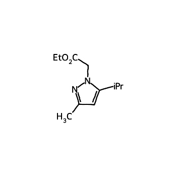 CCOC(=O)Cn1nc(C)cc1C(C)C